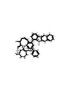 CCC(C)C1=C(N2C(=C\S)/C(C)=C\C=C/c3c(-c4cccc5c4[nH]c4cc6ccccc6cc45)cc(-c4ccccc4)cc32)CC(C)CCC1